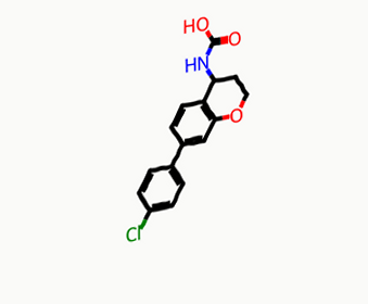 O=C(O)NC1CCOc2cc(-c3ccc(Cl)cc3)ccc21